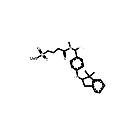 CNS(=O)(=O)CCCC(=O)N(C)C(c1ccc(NC2Cc3ccccc3C2(C)C)cc1)C(F)(F)F